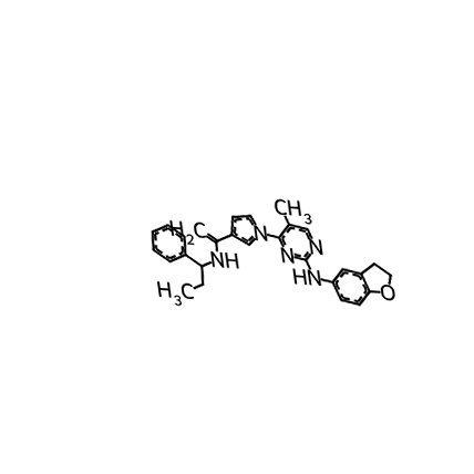 C=C(NC(CC)c1ccccc1)c1ccn(-c2nc(Nc3ccc4c(c3)CCO4)ncc2C)c1